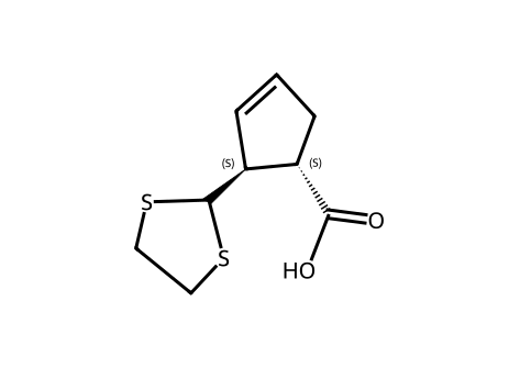 O=C(O)[C@H]1CC=C[C@@H]1C1SCCS1